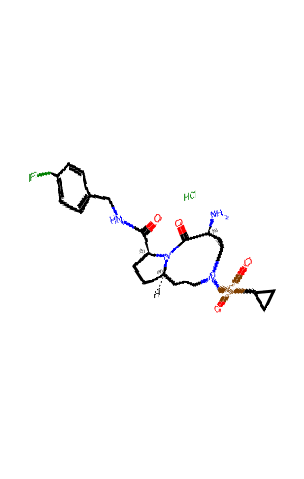 Cl.N[C@H]1CN(S(=O)(=O)C2CC2)CC[C@H]2CC[C@@H](C(=O)NCc3ccc(F)cc3)N2C1=O